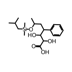 CC(C)C[Si](C)(C)OC(C)CC(c1ccccc1)C(O)C(O)C(=O)O